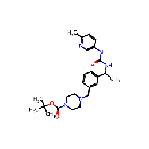 Cc1ccc(NC(=O)NC(C)c2cccc(CN3CCN(C(=O)OC(C)(C)C)CC3)c2)cn1